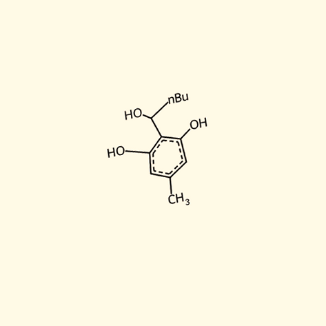 CCCCC(O)c1c(O)cc(C)cc1O